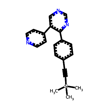 C[Si](C)(C)C#Cc1ccc(-c2ncncc2-c2ccncc2)cc1